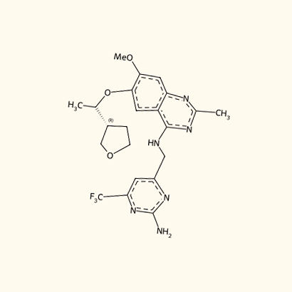 COc1cc2nc(C)nc(NCc3cc(C(F)(F)F)nc(N)n3)c2cc1OC(C)[C@@H]1CCOC1